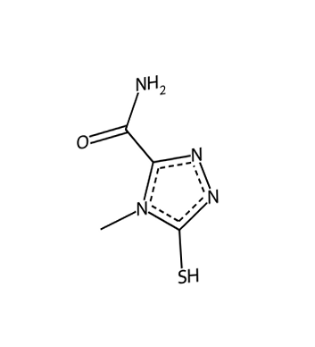 Cn1c(S)nnc1C(N)=O